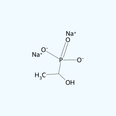 CC(O)P(=O)([O-])[O-].[Na+].[Na+]